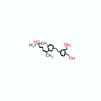 C/C(=C/C=C/C(C)(C)O)c1cccc(CCc2ccc(CO)c(CO)c2)c1